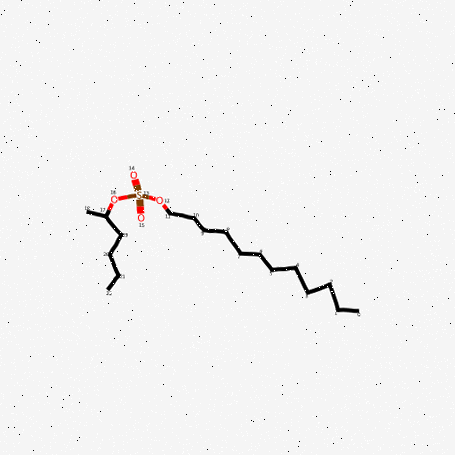 CCCCCCCCCCCCOS(=O)(=O)OC(C)CCCC